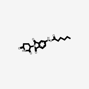 CCCCCC(=O)ONc1ccc2c(c1)C(=O)N(C1CCC(=O)NC1=O)C2=O